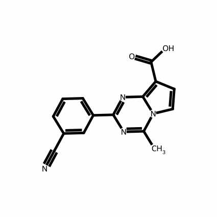 Cc1nc(-c2cccc(C#N)c2)nc2c(C(=O)O)ccn12